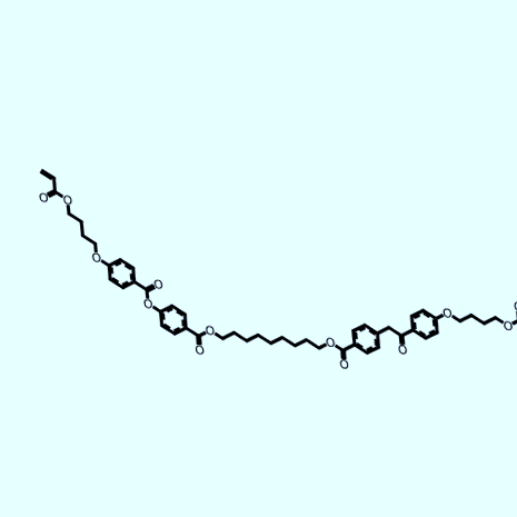 C=CC(=O)OCCCCOc1ccc(C(=O)Cc2ccc(C(=O)OCCCCCCCCCOC(=O)c3ccc(OC(=O)c4ccc(OCCCCOC(=O)C=C)cc4)cc3)cc2)cc1